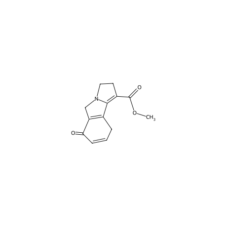 COC(=O)C1=C2C3=C(CN2CC1)C(=O)C=CC3